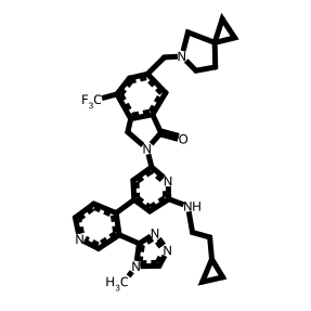 Cn1cnnc1-c1cnccc1-c1cc(NCCC2CC2)nc(N2Cc3c(cc(CN4CCC5(CC5)C4)cc3C(F)(F)F)C2=O)c1